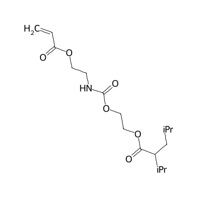 C=CC(=O)OCCNC(=O)OCCOC(=O)C(CC(C)C)C(C)C